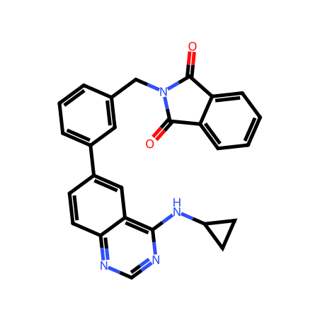 O=C1c2ccccc2C(=O)N1Cc1cccc(-c2ccc3ncnc(NC4CC4)c3c2)c1